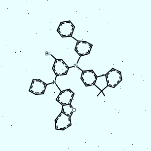 CC1(C)c2ccccc2-c2cc(N(c3cccc(-c4ccccc4)c3)c3cc(Br)cc(N(c4ccccc4)c4ccc5oc6ccccc6c5c4)c3)ccc21